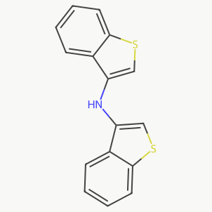 c1ccc2c(Nc3csc4ccccc34)csc2c1